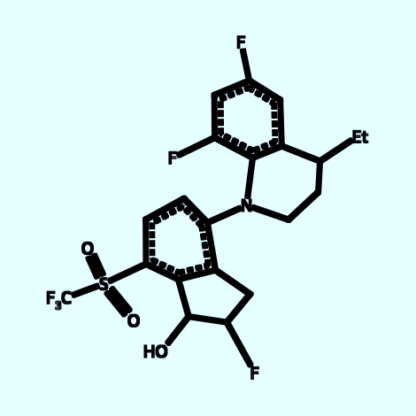 CCC1CCN(c2ccc(S(=O)(=O)C(F)(F)F)c3c2CC(F)C3O)c2c(F)cc(F)cc21